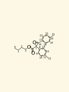 CCCCOC(=O)C1(c2ccc(C)cc2)OC1c1ccc(C)cc1